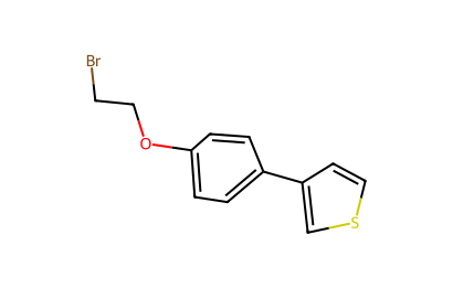 BrCCOc1ccc(-c2ccsc2)cc1